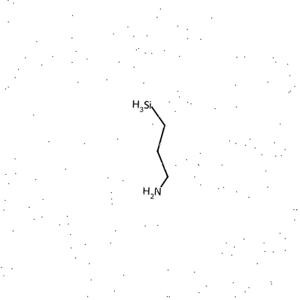 NCCC[SiH3]